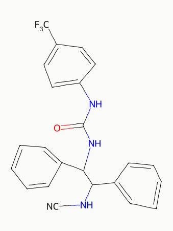 N#CNC(c1ccccc1)C(NC(=O)Nc1ccc(C(F)(F)F)cc1)c1ccccc1